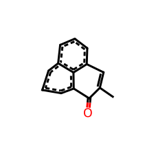 CC1=Cc2cccc3cccc(c23)C1=O